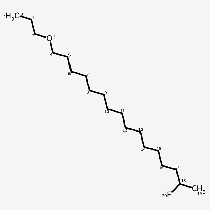 [CH2]CCOCCCCCCCCCCCCCCC(C)F